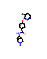 O=C(NC1CC2CC1CN2)c1ccc(Oc2ncccc2Cl)cc1